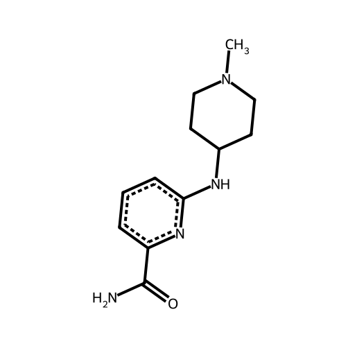 CN1CCC(Nc2cccc(C(N)=O)n2)CC1